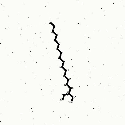 CCCCCCCCCCCCCCCC[C](CC)CC